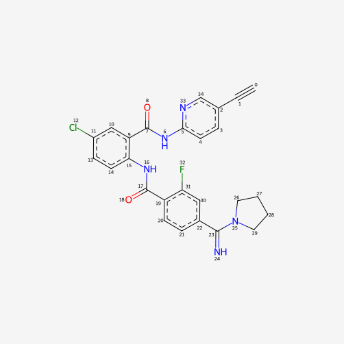 C#Cc1ccc(NC(=O)c2cc(Cl)ccc2NC(=O)c2ccc(C(=N)N3CCCC3)cc2F)nc1